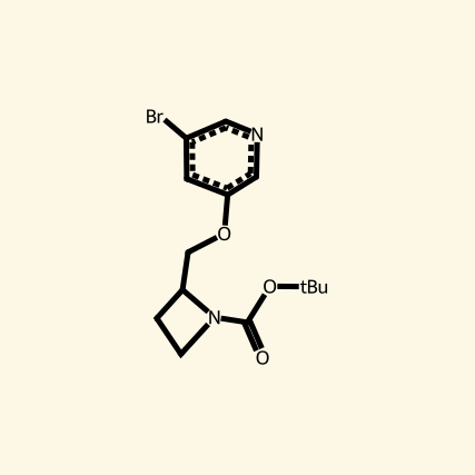 CC(C)(C)OC(=O)N1CCC1COc1cncc(Br)c1